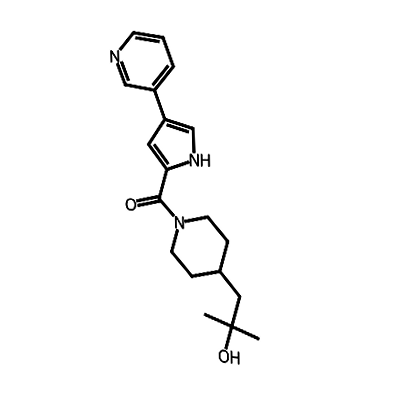 CC(C)(O)CC1CCN(C(=O)c2cc(-c3cccnc3)c[nH]2)CC1